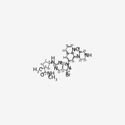 CNC(=O)[C@]1(C)CC[C@@H](Nc2ncc3c(Br)nn(-c4cc(N5CCNCC5=O)c5ncccc5c4)c3n2)C1